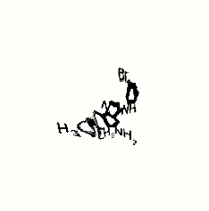 CN(C)Cc1cc(N)cc2c(Nc3cccc(Br)c3)ccnc12